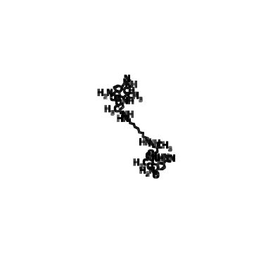 CC(CNNCCCCCCCCCNNCC(C)CC(=O)NC(C(=O)c1cc(-c2cnc[nH]2)ccc1C(N)=O)C(C)C)CC(=O)NC(C(=O)c1cc(-c2cnc[nH]2)ccc1C(N)=O)C(C)C